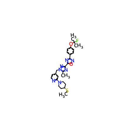 CSC1CCN(c2cc(Cn3nc(-c4nc(-c5ccc(OC(C)(C)F)cc5)no4)nc3C)ccn2)CC1